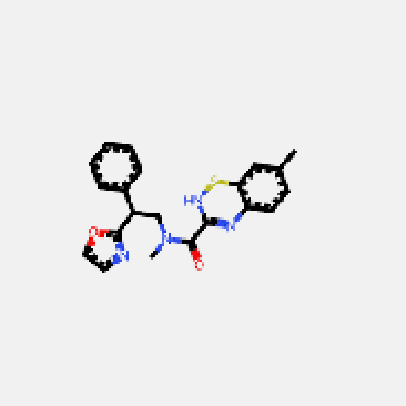 Cc1ccc2c(c1)SNC(C(=O)N(C)CC(c1ccccc1)c1ncco1)=N2